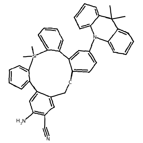 CC1(C)c2ccccc2N(c2ccc3c(c2)-c2ccccc2[Si](C)(C)c2ccccc2-c2cc(N)c(C#N)cc2CC3)c2ccccc21